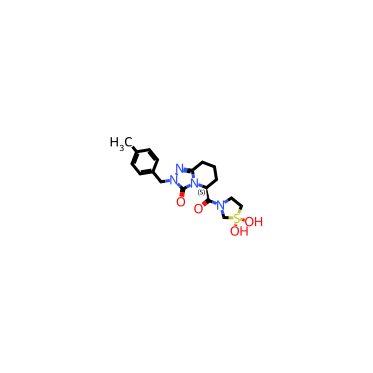 Cc1ccc(Cn2nc3n(c2=O)[C@H](C(=O)N2CCS(O)(O)C2)CCC3)cc1